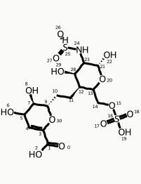 O=C(O)C1=CC(O)[C@@H](O)[C@H](CC[C@@H]2C(COS(=O)(=O)O)O[C@@H](O)C(N[SH](=O)=O)[C@@H]2O)O1